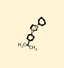 CC(C)c1ccc(N2C=CN(c3ccccc3)C2)cc1